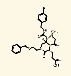 CN1CC(=O)N2[C@@H](CCC(=O)O)C(=O)N(CCSCc3ccccc3)C[C@@H]2N1C(=O)NCc1ccc(F)cc1